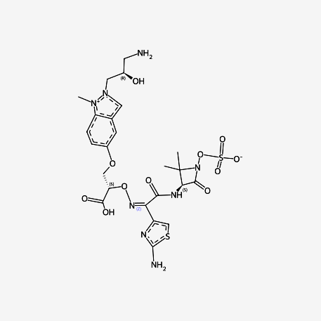 C[n+]1c2ccc(OC[C@H](O/N=C(\C(=O)N[C@@H]3C(=O)N(OS(=O)(=O)[O-])C3(C)C)c3csc(N)n3)C(=O)O)cc2cn1C[C@H](O)CN